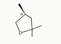 C[C@@H]1COC(C)(C)C1